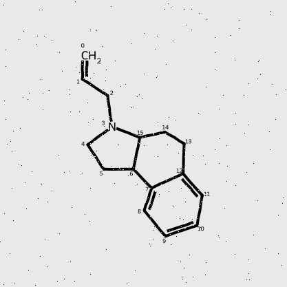 C=CCN1CCC2c3ccccc3CCC21